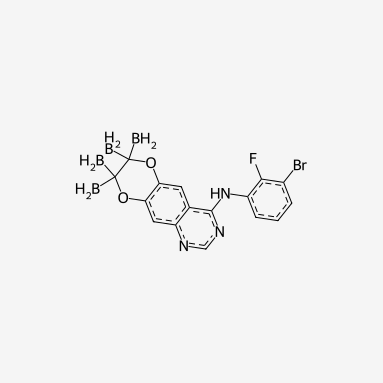 BC1(B)Oc2cc3ncnc(Nc4cccc(Br)c4F)c3cc2OC1(B)B